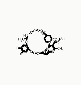 Cc1nc2cc3nn2c(c1[C@H](OC(C)(C)C)C(=O)O)N1CCC(C)(CC1)OCCCC[C@H](C)Oc1cc(F)c(F)cc1CCC3